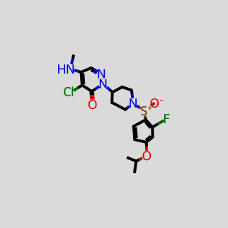 CNc1cnn(C2CCN([S+]([O-])c3ccc(OC(C)C)cc3F)CC2)c(=O)c1Cl